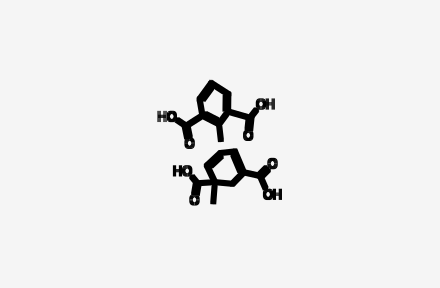 CC1(C(=O)O)C=CC=C(C(=O)O)C1.Cc1c(C(=O)O)cccc1C(=O)O